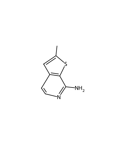 Cc1cc2ccnc(N)c2s1